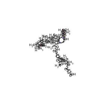 CCN(C(=O)CNC(=O)OCc1ccc(NC(=O)[C@H](CC(N)=O)NC(=O)[C@H](C)NC(=O)[C@H](C)NC(=O)CCC(=O)N2CCC(C(=O)O)CC2)cc1)C1COC(OC2C(O[C@H]3C#C/C=C\C#C[C@]4(O)CC(=O)C(NC(=O)OC)=C3/C4=C\CSSC(C)(C)C)OC(C)C(NOC3CC(O)C(SC(=O)c4c(C)c(I)c(OC5OC(C)C(O)C(OC)C5O)c(OC)c4OC)C(C)O3)C2O)CC1OC